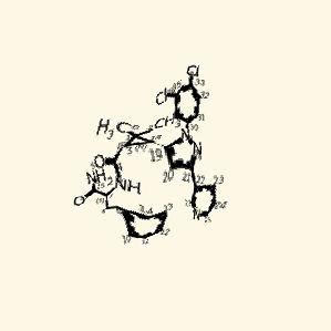 CC1(C)[C@H](C(=O)N[C@@H](Cc2ccccc2)C(N)=O)[C@H]1c1cc(-c2cccnc2)nn1-c1ccc(Cl)c(Cl)c1